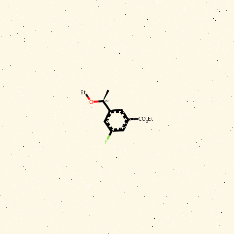 CCOC(=O)c1cc(F)cc([C@H](C)OCC)c1